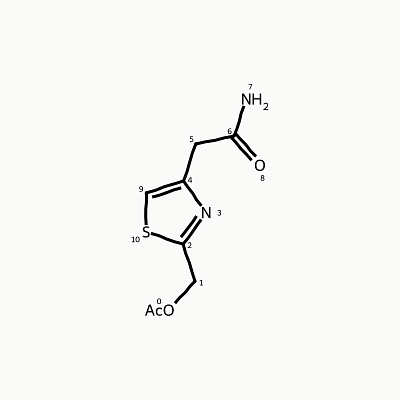 CC(=O)OCc1nc(CC(N)=O)cs1